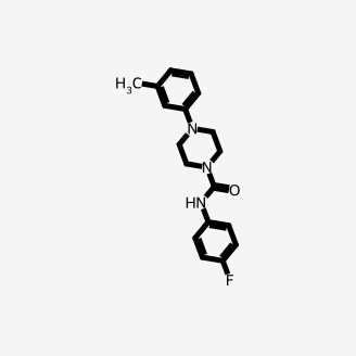 Cc1cccc(N2CCN(C(=O)Nc3ccc(F)cc3)CC2)c1